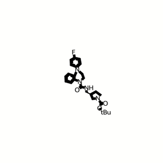 CC(C)(C)OC(=O)N1CC[C@H](CNC(=O)N2CCN(c3ccc(F)cc3)c3ccccc32)C1